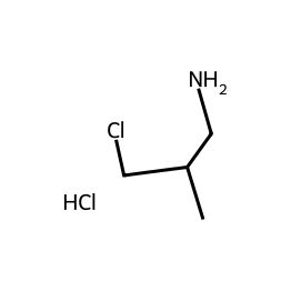 CC(CN)CCl.Cl